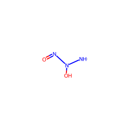 [NH]N(O)N=O